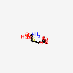 COc1cc(OCCC#Cc2ccc(CCC(C)(N)COP(=O)(O)O)s2)cc(OC)c1OC